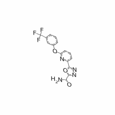 NC(=O)c1nnc(-c2cccc(Oc3cccc(C(F)(F)F)c3)n2)o1